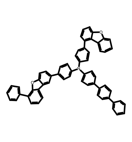 c1ccc(-c2ccc(-c3ccc(N(c4ccc(-c5ccc6oc7c(-c8ccccc8)cccc7c6c5)cc4)c4ccc(-c5cccc6oc7ccccc7c56)cc4)cc3)cc2)cc1